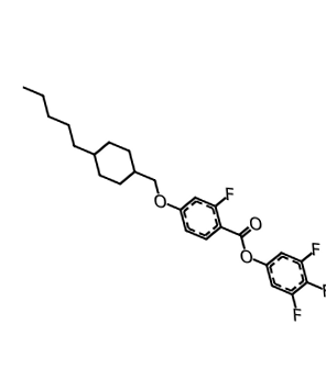 CCCCCC1CCC(COc2ccc(C(=O)Oc3cc(F)c(F)c(F)c3)c(F)c2)CC1